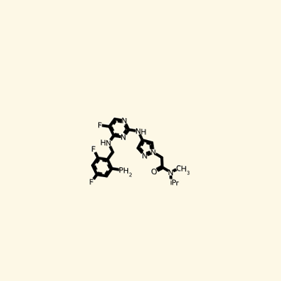 CC(C)N(C)C(=O)Cn1cc(Nc2ncc(F)c(NCc3c(F)cc(F)cc3P)n2)cn1